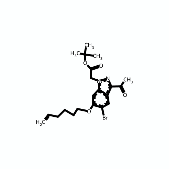 C=CCCCCOc1cc2c(cc1Br)c(C(C)=O)nn2CC(=O)OC(C)(C)C